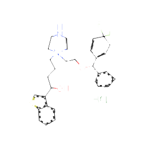 Cl.OC(CCC[N+]1(CCOC(C2=CCC(F)(F)C=C2)c2ccccc2)CCNCC1)c1csc2ccccc12